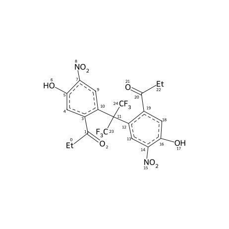 CCC(=O)c1cc(O)c([N+](=O)[O-])cc1C(c1cc([N+](=O)[O-])c(O)cc1C(=O)CC)(C(F)(F)F)C(F)(F)F